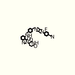 N#Cc1ccc(N2CC3CN(Cc4ccc(CNc5cccc6ncn(C7CCC(=O)NC7=O)c(=O)c56)cc4)CC3C2)c(F)c1